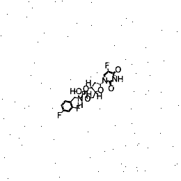 O=c1[nH]c(=O)n([C@H]2C[C@@H]3O[PH](O)(NCc4ccc(F)cc4F)OC[C@H]3O2)cc1F